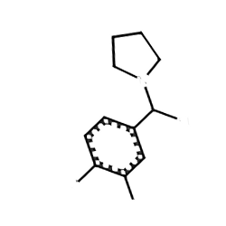 CC(c1ccc(Cl)c(Cl)c1)N1CCCC1